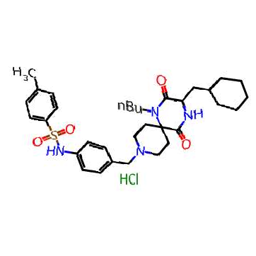 CCCCN1C(=O)C(CC2CCCCC2)NC(=O)C12CCN(Cc1ccc(NS(=O)(=O)c3ccc(C)cc3)cc1)CC2.Cl